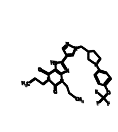 CCCn1c(=O)c2[nH]c(-c3cnn(CC4CCN(c5ccc(OC(F)(F)F)cc5)C4)c3)nc2n(CCC)c1=O